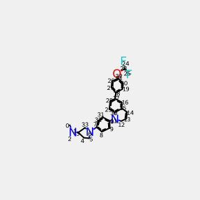 CN(C)C1CCN(c2ccc(N3CC=Cc4cc(-c5ccc(OC(F)F)cc5)ccc43)cc2)C1